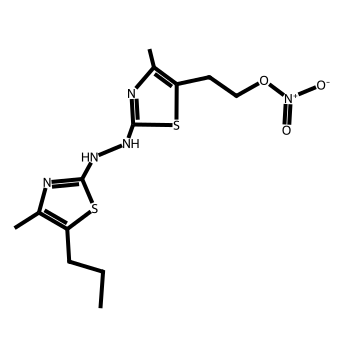 CCCc1sc(NNc2nc(C)c(CCO[N+](=O)[O-])s2)nc1C